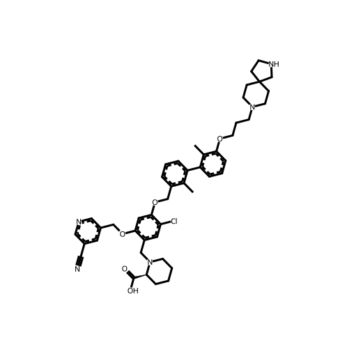 Cc1c(COc2cc(OCc3cncc(C#N)c3)c(CN3CCCC[C@H]3C(=O)O)cc2Cl)cccc1-c1cccc(OCCCN2CCC3(CCNC3)CC2)c1C